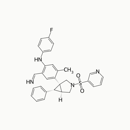 Cc1cc(Nc2ccc(F)cc2)c(C=N)cc1[C@]12CN(S(=O)(=O)c3cccnc3)C[C@H]1[C@@H]2c1ccccc1